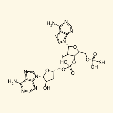 Nc1ncnc2c1ncn2[C@@H]1OC(COP(=O)(O)S)[C@@H](OP(=O)(O)OC[C@@H]2C[C@@H](O)[C@H](n3cnc4c(N)ncnc43)O2)[C@H]1F